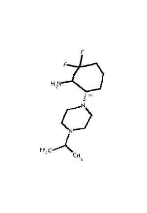 CC(C)N1CCN([C@H]2CCCC(F)(F)C2N)CC1